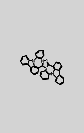 c1ccc(-n2c3ccccc3c3cccc(-c4nnc(-c5cccc6c7ccccc7n(-c7ccccc7)c56)s4)c32)cc1